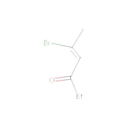 CCC(=O)C=C(C)Br